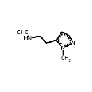 Cn1nccc1CCNC=O